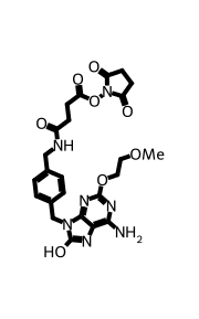 COCCOc1nc(N)c2nc(O)n(Cc3ccc(CNC(=O)CCC(=O)ON4C(=O)CCC4=O)cc3)c2n1